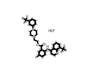 Cl.O=C(OCCN1CCN(c2cccc(C(F)(F)F)c2)CC1)c1cc(F)ccc1Nc1ccnc2c(C(F)(F)F)cccc12